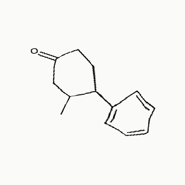 CC1CC(=O)CCC1c1ccccc1